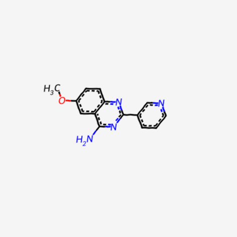 COc1ccc2nc(-c3cccnc3)nc(N)c2c1